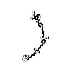 Nc1c(Cl)cc(C(=O)NC2CCN(CCCCCC(=O)NC3CCN(CCCCCC(=O)NCCCCC(O)CO)CC3)CC2)c2c1CCO2